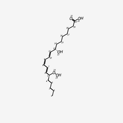 CCCCC[C@@H](/C=C/C=C\C=C\[C@@H](O)CCCCCCC(=O)O)OO